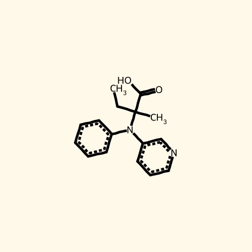 CCC(C)(C(=O)O)N(c1ccccc1)c1cccnc1